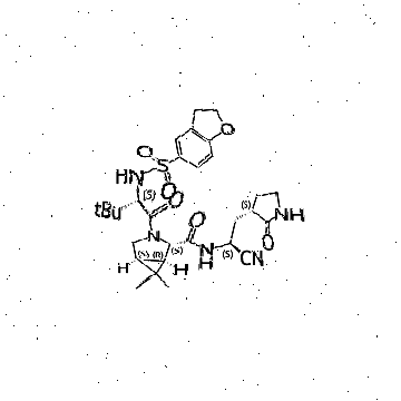 CC(C)(C)[C@H](NS(=O)(=O)c1ccc2c(c1)CCO2)C(=O)N1C[C@H]2[C@@H]([C@H]1C(=O)N[C@H](C#N)C[C@@H]1CCNC1=O)C2(C)C